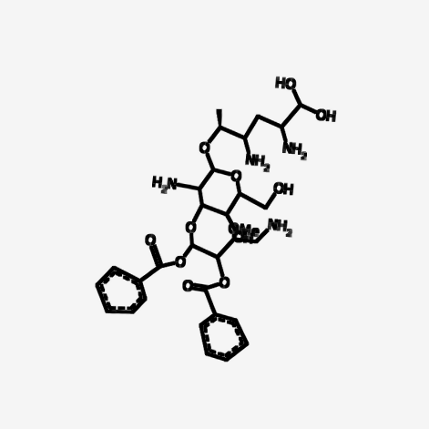 COC(CN)C(OC(=O)c1ccccc1)C(OC(=O)c1ccccc1)OC1C(N)C(O[C@@H](C)C(N)CC(N)C(O)O)OC(CO)C1O